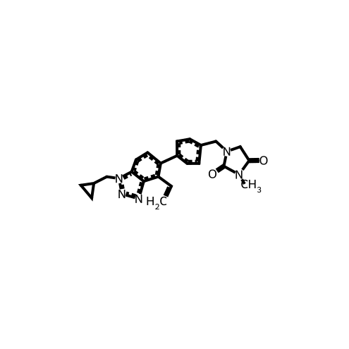 C=Cc1c(-c2ccc(CN3CC(=O)N(C)C3=O)cc2)ccc2c1nnn2CC1CC1